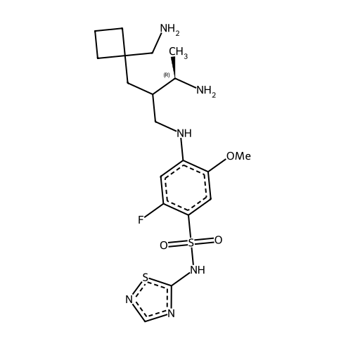 COc1cc(S(=O)(=O)Nc2ncns2)c(F)cc1NCC(CC1(CN)CCC1)[C@@H](C)N